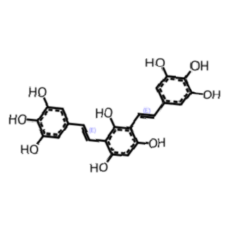 Oc1cc(/C=C/c2c(O)cc(O)c(/C=C/c3cc(O)c(O)c(O)c3)c2O)cc(O)c1O